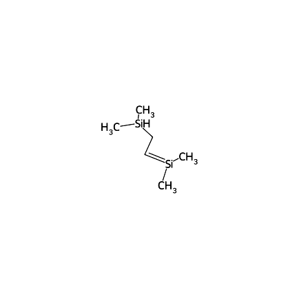 C[Si](C)=CC[SiH](C)C